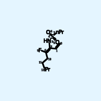 C=C/C(NS(=O)(=O)CCC)=C(/F)CCC(C)C